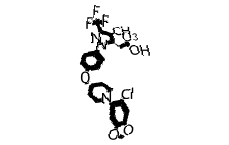 C[C@@H]1C(C(F)(F)F)=NN(c2ccc(OC3CCN(c4cc5c(cc4Cl)OCO5)CC3)cc2)[C@H]1CC(=O)O